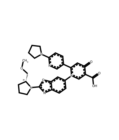 COC[C@H]1CCCN1c1nc2ccc(-n3cc(C(=O)O)c(=O)cc3-c3ccc(N4CCCC4)nc3)cc2o1